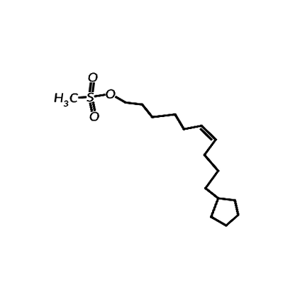 CS(=O)(=O)OCCCCC/C=C\CCCC1CCCC1